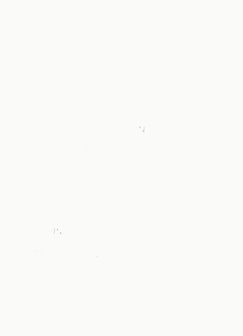 CC1COc2cc(C(=O)NO)ccc2CN1c1ccccc1